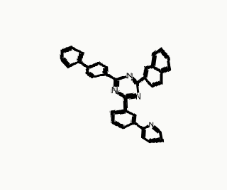 c1ccc(-c2ccc(-c3nc(-c4cccc(-c5ccccn5)c4)nc(-c4ccc5ccccc5c4)n3)cc2)cc1